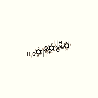 Cc1ccc(CNS(=O)(=O)c2ccc(NC(=O)NCc3cccnc3)cc2)cc1